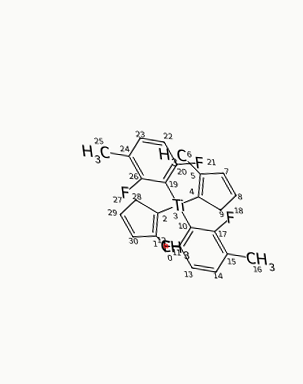 CC1=[C]([Ti]([C]2=C(C)C=CC2)([c]2c(F)ccc(C)c2F)[c]2c(F)ccc(C)c2F)CC=C1